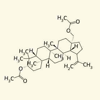 C=C(C)C1CC[C@]2(COC(C)=O)CC[C@]3(C)[C@H](CC[C@@H]4[C@@]5(C)CC[C@H](OC(C)=O)C(C)(C)[C@@H]5CC[C@]43C)[C@@H]12